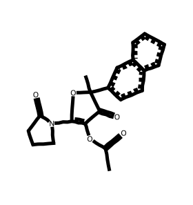 CC(=O)OC1=C(N2CCCC2=O)OC(C)(c2ccc3ccccc3c2)C1=O